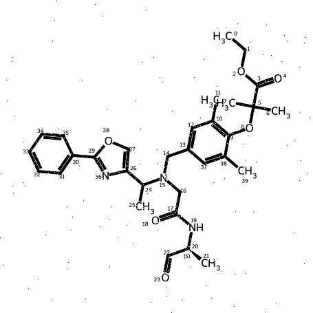 CCOC(=O)C(C)(C)Oc1c(C)cc(CN(CC(=O)N[C@@H](C)C=O)C(C)c2coc(-c3ccccc3)n2)cc1C